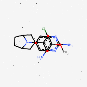 COc1ccc(N2C3CCC2CC(c2c(N)nc(N)nc2Cl)C3)cc1